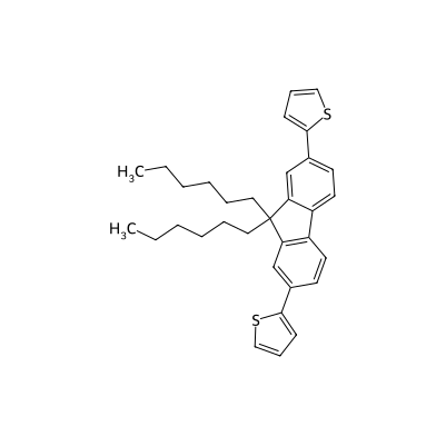 CCCCCCC1(CCCCCC)c2cc(-c3cccs3)ccc2-c2ccc(-c3cccs3)cc21